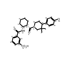 CC1(C)CN(C(=O)[C@H]2CCCC[C@H]2NC(=O)c2cccc(C(=O)O)c2)CCC1c1ccc(Cl)cc1